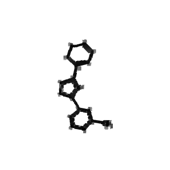 Cc1cccc(-c2ccc(C3=CC=CCC3)s2)c1